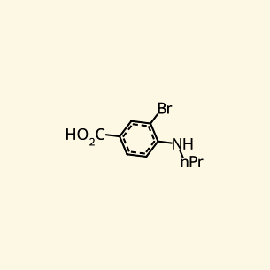 CCCNc1ccc(C(=O)O)cc1Br